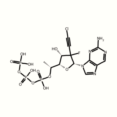 C[C@@H](OP(=O)(O)OP(=O)(O)OP(=O)(O)O)[C@H]1O[C@@H](n2cnc3cnc(N)nc32)C(F)(C#CCl)[C@H]1O